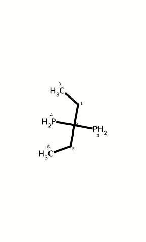 CCC(P)(P)CC